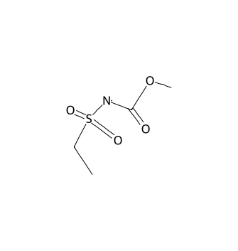 CCS(=O)(=O)[N]C(=O)OC